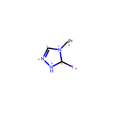 CC(C)N1C=NNC1I